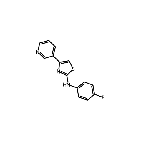 Fc1ccc(Nc2nc(-c3cccnc3)cs2)cc1